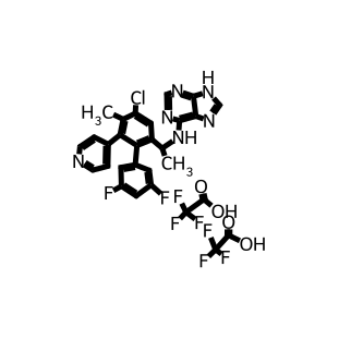 Cc1c(Cl)cc(C(C)Nc2ncnc3[nH]cnc23)c(-c2cc(F)cc(F)c2)c1-c1ccncc1.O=C(O)C(F)(F)F.O=C(O)C(F)(F)F